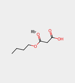 CCCCOC(=O)CC(=O)O.[Rb]